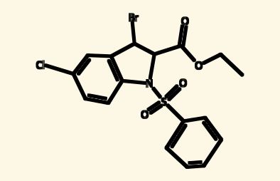 CCOC(=O)C1C(Br)c2cc(Cl)ccc2N1S(=O)(=O)c1ccccc1